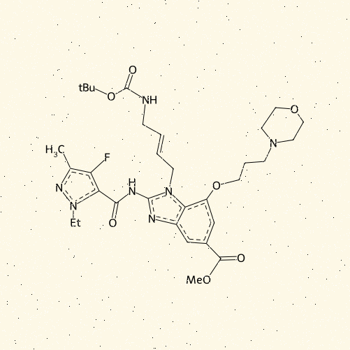 CCn1nc(C)c(F)c1C(=O)Nc1nc2cc(C(=O)OC)cc(OCCCN3CCOCC3)c2n1CC=CCNC(=O)OC(C)(C)C